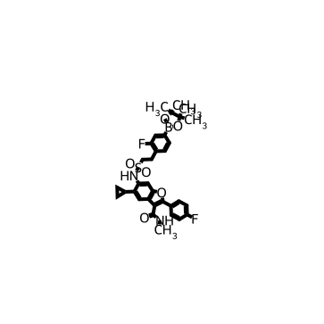 CNC(=O)c1c(-c2ccc(F)cc2)oc2cc(NS(=O)(=O)CCc3ccc(B4OC(C)(C)C(C)(C)O4)cc3F)c(C3CC3)cc12